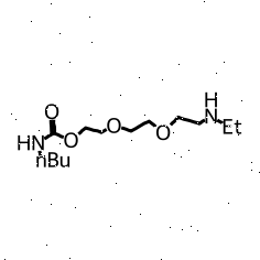 CCCCNC(=O)OCCOCCOCCNCC